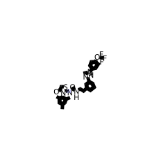 Cc1cc(C)c(N2C(=O)CS/C2=N\C(=O)NCCc2cccc(-c3ncn(-c4ccc(OC(F)(F)F)cc4)n3)c2)c(C)c1